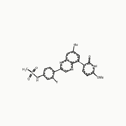 COc1ccc(-c2cc(C(C)(C)C)cc3nc(-c4ccc(NS(C)(=O)=O)cc4F)cnc23)c(=O)[nH]1